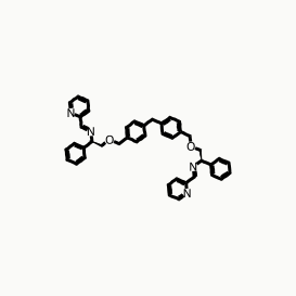 C(=N\[C@@H](COCc1ccc(Cc2ccc(COC[C@H](/N=C/c3ccccn3)c3ccccc3)cc2)cc1)c1ccccc1)/c1ccccn1